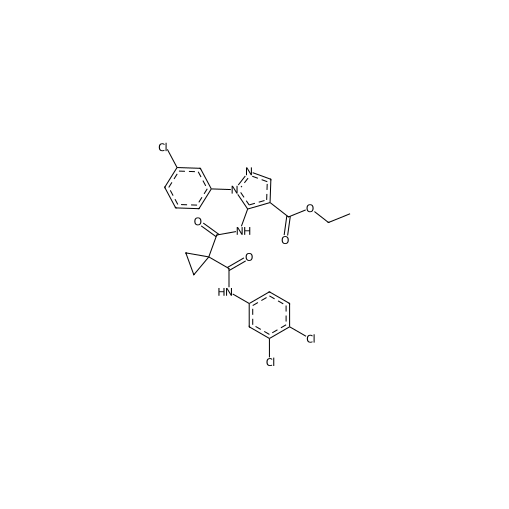 CCOC(=O)c1cnn(-c2cccc(Cl)c2)c1NC(=O)C1(C(=O)Nc2ccc(Cl)c(Cl)c2)CC1